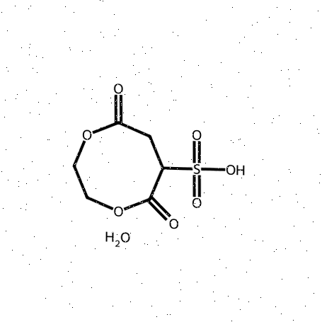 O.O=C1CC(S(=O)(=O)O)C(=O)OCCO1